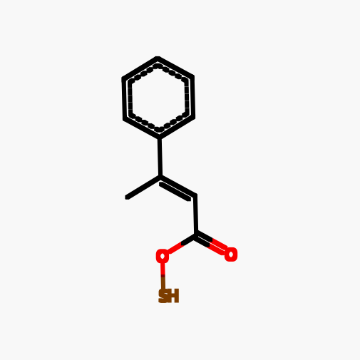 CC(=CC(=O)OS)c1ccccc1